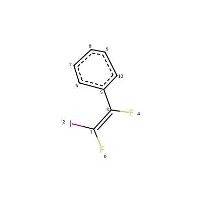 FC(I)=C(F)c1ccccc1